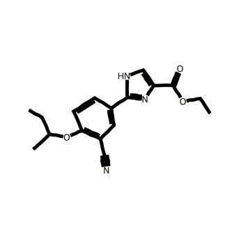 CCOC(=O)c1c[nH]c(-c2ccc(OC(C)CC)c(C#N)c2)n1